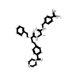 C[C@H](NC(=O)[C@@H](CCc1ccccc1)CCc1ccc(C(=O)N2CCOCC2)cc1)C(=O)NCc1ccc(C(=N)N)cc1